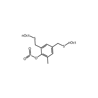 CCCCCCCCSCc1cc(C)c(OP(=O)=O)c(CSCCCCCCCC)c1